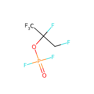 O=P(F)(F)OC(F)(CF)C(F)(F)F